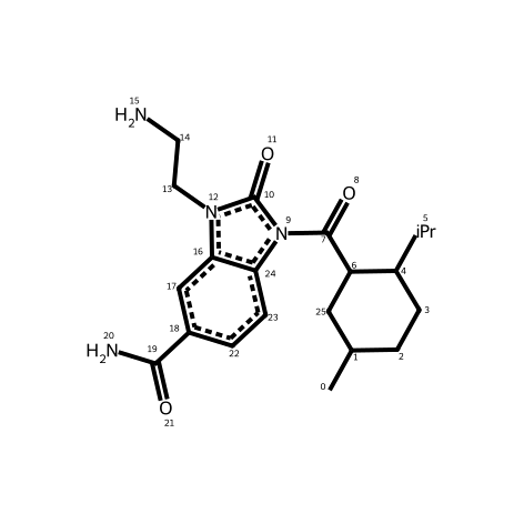 CC1CCC(C(C)C)C(C(=O)n2c(=O)n(CCN)c3cc(C(N)=O)ccc32)C1